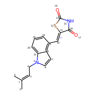 CC(C)=CCn1ccc2c(/C=C3\SC(=O)NC3=O)cccc21